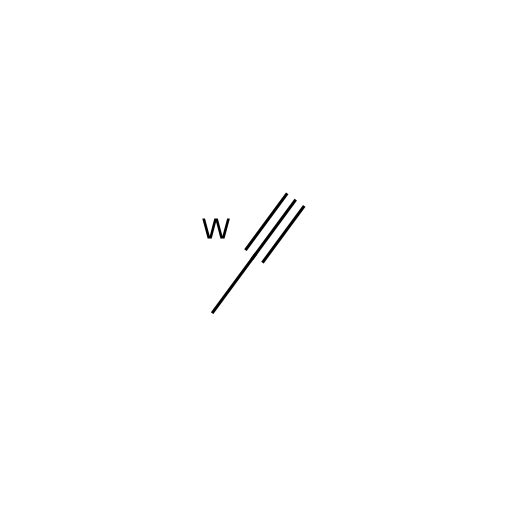 C#CC.[W]